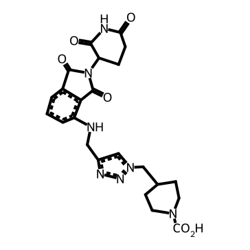 O=C1CCC(N2C(=O)c3cccc(NCc4cn(CC5CCN(C(=O)O)CC5)nn4)c3C2=O)C(=O)N1